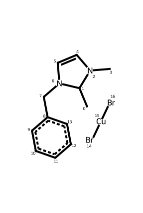 CC1N(C)C=CN1Cc1ccccc1.[Br][Cu][Br]